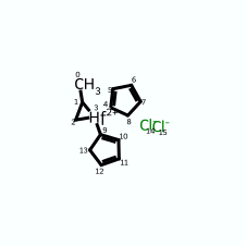 C[CH]1[CH2][Hf+2]1([C]1=CC=CC1)[C]1=CC=CC1.[Cl-].[Cl-]